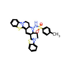 Cc1ccc(S(=O)(=O)NN2C3CC[n+]4c(sc5ccccc54)C3=CC3=C4Sc5ccccc5N4CCC32)cc1